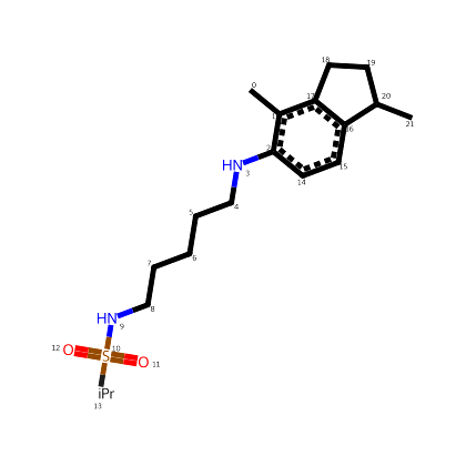 Cc1c(NCCCCCNS(=O)(=O)C(C)C)ccc2c1CCC2C